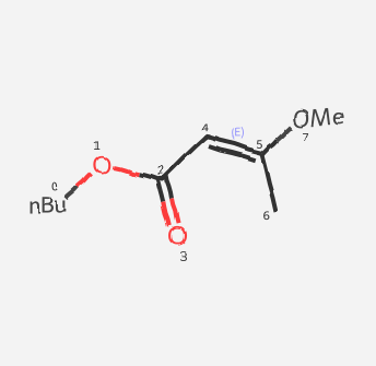 CCCCOC(=O)/C=C(\C)OC